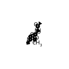 C[C@H]1CC(=O)N(Cc2ccc(-c3nc([C@H]4CC(=O)N(C5CC5)C4)no3)cc2Oc2ccc3nc(N4CCC4)ccc3c2)C1